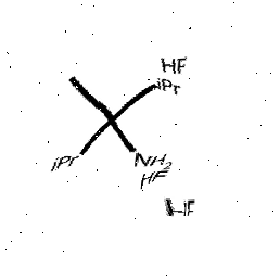 CC(C)C(C)(N)C(C)C.F.F.F